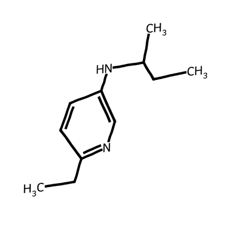 CCc1ccc(NC(C)CC)cn1